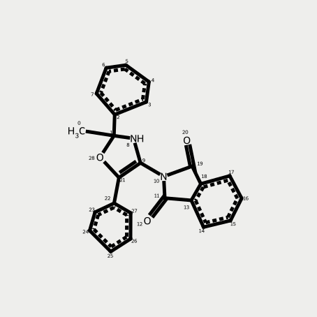 CC1(c2ccccc2)NC(N2C(=O)c3ccccc3C2=O)=C(c2ccccc2)O1